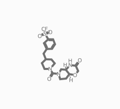 O=C1CO[C@H]2CCN(C(=O)N3CCC(Cc4cccc(S(=O)(=O)C(F)(F)F)c4)CC3)C[C@H]2N1